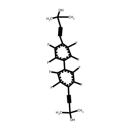 CC(C)(O)C#Cc1c(F)c(F)c(-c2c(F)c(F)c(C#CC(C)(C)O)c(F)c2F)c(F)c1F